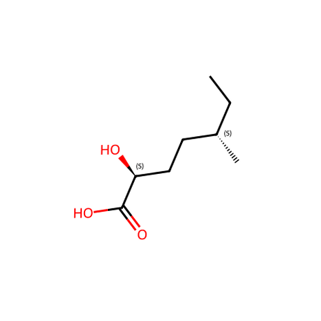 CC[C@H](C)CC[C@H](O)C(=O)O